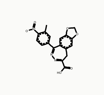 Cc1cc(C2=NN=C(C(=O)O)Cc3cc4c(cc32)OCO4)ccc1[N+](=O)[O-]